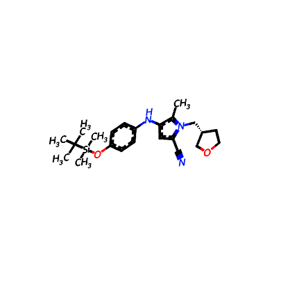 Cc1c(Nc2ccc(O[Si](C)(C)C(C)(C)C)cc2)cc(C#N)n1C[C@@H]1CCOC1